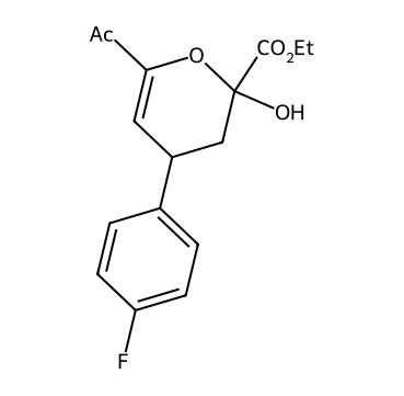 CCOC(=O)C1(O)CC(c2ccc(F)cc2)C=C(C(C)=O)O1